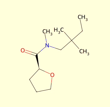 CCC(C)(C)CN(C)C(=O)[C@@H]1CCCO1